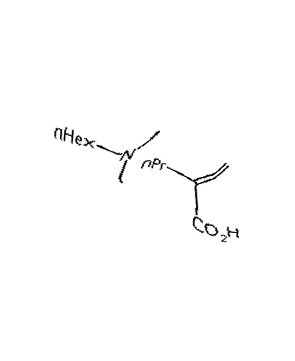 C=C(CCC)C(=O)O.CCCCCCN(C)C